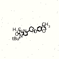 CN1CCOc2cc(ON3CCCC(c4ccc5c(n4)n(C)c(=O)n5CC(C)(C)C)C3)ccc21